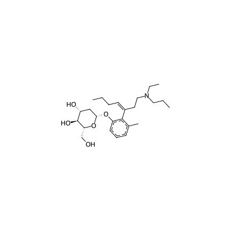 CCC/C=C(/CCN(CC)CCC)c1c(C)cccc1O[C@H]1C[C@@H](O)[C@H](O)[C@@H](CO)O1